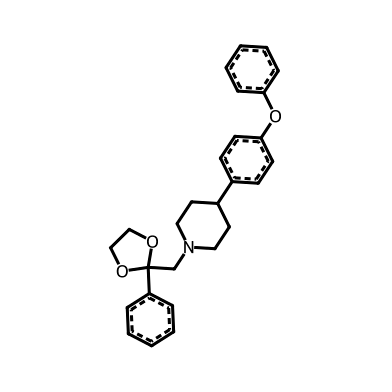 c1ccc(Oc2ccc(C3CCN(CC4(c5ccccc5)OCCO4)CC3)cc2)cc1